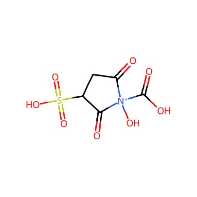 O=C(O)[N+]1(O)C(=O)CC(S(=O)(=O)O)C1=O